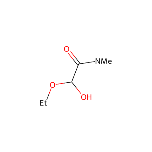 CCOC(O)C(=O)NC